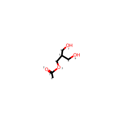 CC(=O)OCC(CO)CO